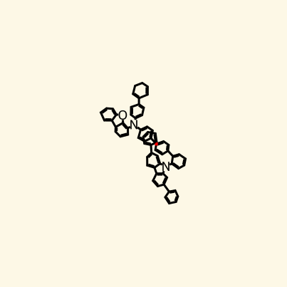 C1=CC(c2ccc(N(c3ccc(-c4ccc(-c5ccccc5-n5c6cc(-c7ccccc7)ccc6c6ccc(-c7ccccc7)cc65)cc4)cc3)c3cccc4c3oc3ccccc34)cc2)=CCC1